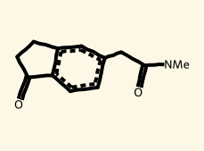 CNC(=O)Cc1ccc2c(c1)CCC2=O